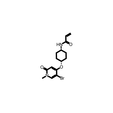 C=CC(=O)N[C@H]1CC[C@H](Oc2cc(=O)n(C)cc2Br)CC1